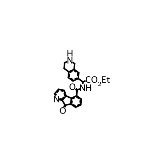 CCOC(=O)C(NC(=O)c1cccc2c1-c1cccnc1C2=O)c1ccc2c(c1)CNCC2